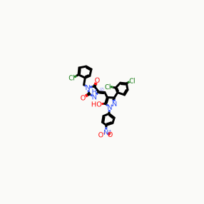 O=C1N/C(=C\c2c(-c3ccc(Cl)cc3Cl)nn(-c3ccc([N+](=O)[O-])cc3)c2O)C(=O)N1Cc1ccccc1Cl